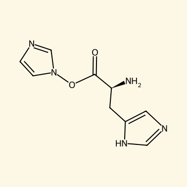 N[C@@H](Cc1cnc[nH]1)C(=O)On1ccnc1